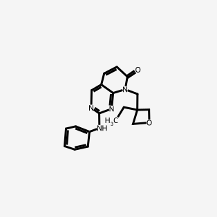 CCC1(Cn2c(=O)ccc3cnc(Nc4ccccc4)nc32)COC1